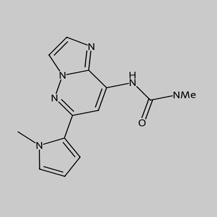 CNC(=O)Nc1cc(-c2cccn2C)nn2ccnc12